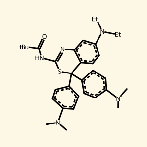 CCN(CC)c1ccc2c(c1)N=C(NC(=O)C(C)(C)C)SC2(c1ccc(N(C)C)cc1)c1ccc(N(C)C)cc1